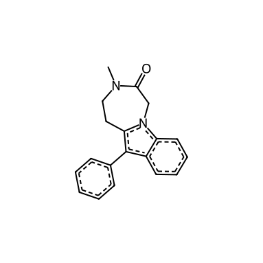 CN1CCc2c(-c3ccccc3)c3ccccc3n2CC1=O